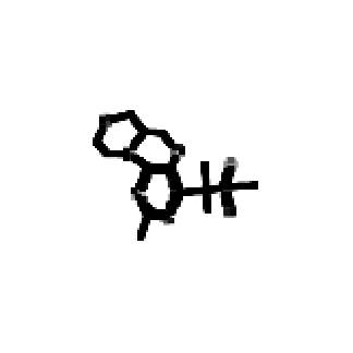 Cc1nc2c(c(C(C)(C)S(C)(=O)=O)n1)OCC1COCCN21